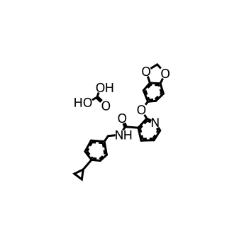 O=C(NCc1ccc(C2CC2)cc1)c1cccnc1Oc1ccc2c(c1)OCO2.O=C(O)O